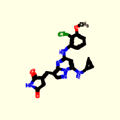 COc1cccc(Nc2cc(NC3CC3)n3ncc(/C=C4\CC(=O)NC4=O)c3n2)c1Cl